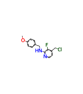 COc1ccc(CNc2nccc(CCl)c2F)cc1